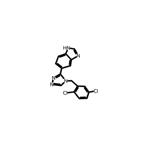 Clc1ccc(Cl)c(Cn2cnnc2-c2ccc3[nH]cnc3c2)c1